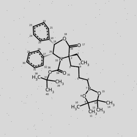 CC[C@]1(CCCCB2OC(C)(C)C(C)(C)O2)C(=O)O[C@@H](c2ccccc2)[C@@H](c2ccccc2)N1C(=O)OC(C)(C)C